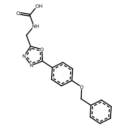 O=C(O)NCc1nnc(-c2ccc(OCc3ccccc3)cc2)o1